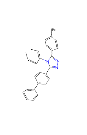 C/C=C\C(=C/C)n1c(-c2ccc(-c3ccccc3)cc2)nnc1-c1ccc(C(C)(C)C)cc1